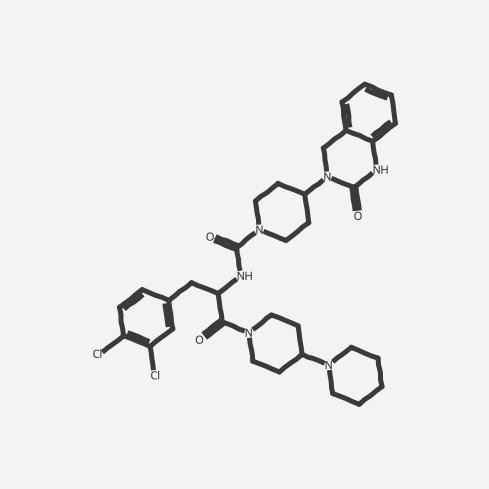 O=C(NC(Cc1ccc(Cl)c(Cl)c1)C(=O)N1CCC(N2CCCCC2)CC1)N1CCC(N2Cc3ccccc3NC2=O)CC1